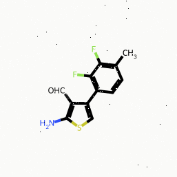 Cc1ccc(-c2csc(N)c2C=O)c(F)c1F